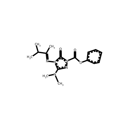 CC(=Nn1c(N(C)C)nn(C(=O)Oc2ccccc2)c1=O)C(C)C